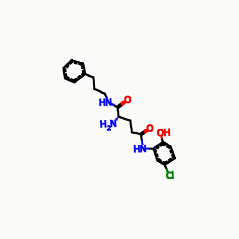 N[C@@H](CCC(=O)Nc1cc(Cl)ccc1O)C(=O)NCCCc1ccccc1